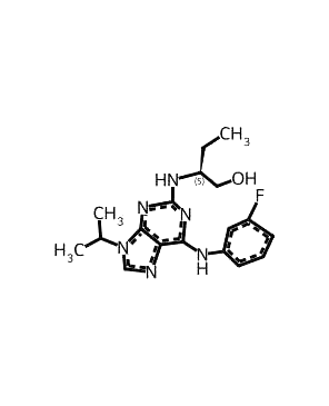 CC[C@@H](CO)Nc1nc(Nc2cccc(F)c2)c2ncn(C(C)C)c2n1